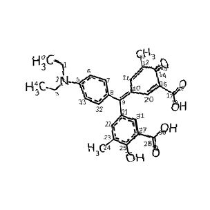 CCN(CC)c1ccc(/C(=C2\C=C(C)C(=O)C(C(=O)O)=C2)c2cc(C)c(O)c(C(=O)O)c2)cc1